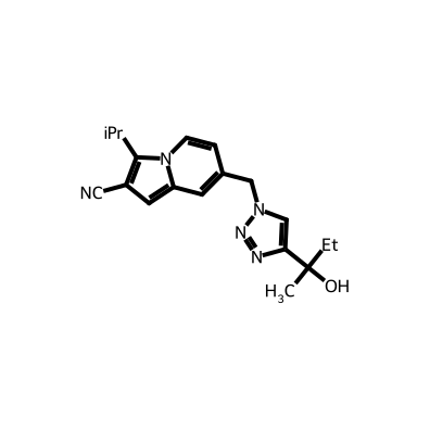 CCC(C)(O)c1cn(Cc2ccn3c(C(C)C)c(C#N)cc3c2)nn1